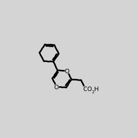 O=C(O)CC1=COC=C(C2=CC=CCC2)O1